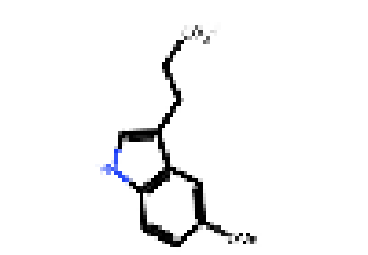 COc1ccc2[nH]cc(CCC(=O)O)c2c1